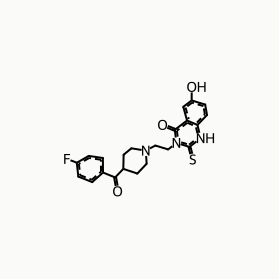 O=C(c1ccc(F)cc1)C1CCN(CCn2c(=S)[nH]c3ccc(O)cc3c2=O)CC1